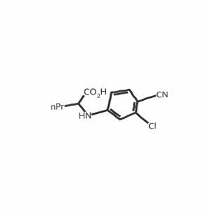 CCCC(Nc1ccc(C#N)c(Cl)c1)C(=O)O